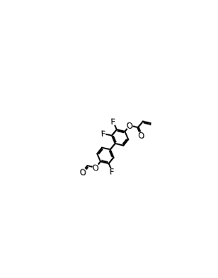 C=CC(=O)Oc1ccc(-c2ccc(OC=O)c(F)c2)c(F)c1F